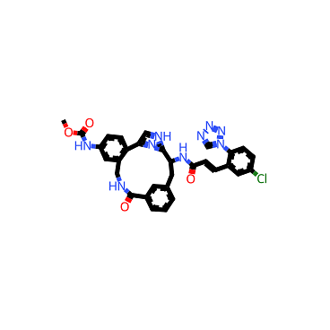 COC(=O)Nc1ccc2c(c1)CNC(=O)c1cccc(c1)CC(NC(=O)/C=C/c1cc(Cl)ccc1-n1cnnn1)c1nc-2c[nH]1